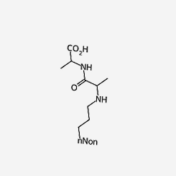 CCCCCCCCCCCCNC(C)C(=O)NC(C)C(=O)O